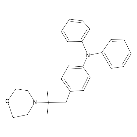 CC(C)(Cc1ccc(N(c2ccccc2)c2ccccc2)cc1)N1CCOCC1